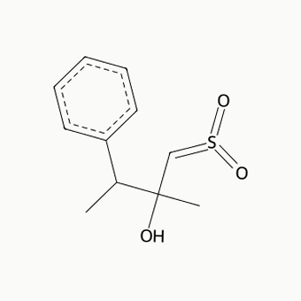 CC(c1ccccc1)C(C)(O)C=S(=O)=O